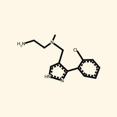 CN(CCN)Cc1c[nH]nc1-c1ccccc1Cl